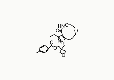 CCc1nn(CC2(COC(=O)c3ccc(C)cc3)COC2)c2c1C(=O)NCCCOCCC2